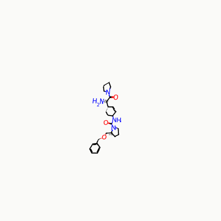 N[C@H](C(=O)N1CCCC1)[C@H]1CC[C@H](NC(=O)N2CCC[C@H]2COCc2ccccc2)CC1